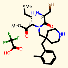 COC(=O)[C@H](CCSC)N(CC1(Cc2ccccc2C)CCNCC1)C(=O)[C@@H](N)CS.O=C(O)C(F)(F)F